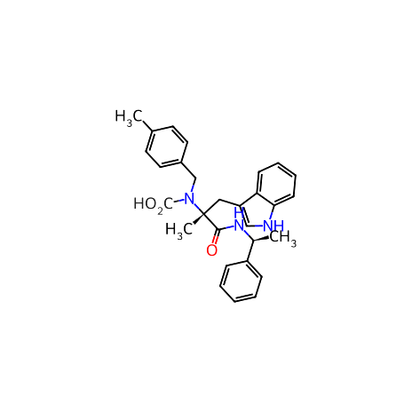 Cc1ccc(CN(C(=O)O)[C@](C)(Cc2c[nH]c3ccccc23)C(=O)N[C@@H](C)c2ccccc2)cc1